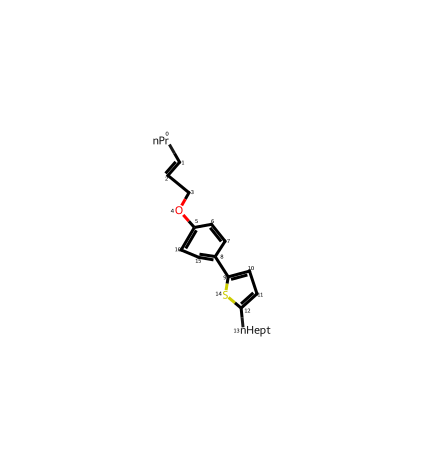 CCCC=CCOc1ccc(-c2ccc(CCCCCCC)s2)cc1